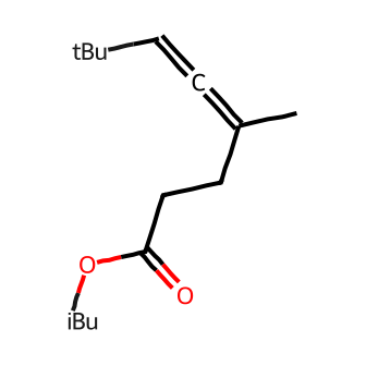 CCC(C)OC(=O)CCC(C)=C=CC(C)(C)C